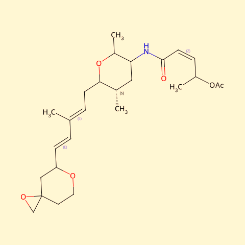 CC(=O)OC(C)/C=C\C(=O)NC1C[C@H](C)C(C/C=C(C)/C=C/C2CC3(CCO2)CO3)OC1C